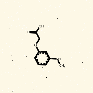 CNc1cccc(OCC(=O)O)c1